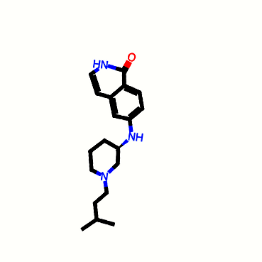 CC(C)CCN1CCC[C@@H](Nc2ccc3c(=O)[nH]ccc3c2)C1